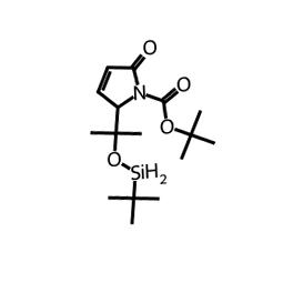 CC(C)(C)OC(=O)N1C(=O)C=CC1C(C)(C)O[SiH2]C(C)(C)C